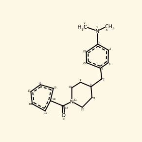 CN(C)c1ccc(CC2CCN(C(=O)c3ccccc3)CC2)cc1